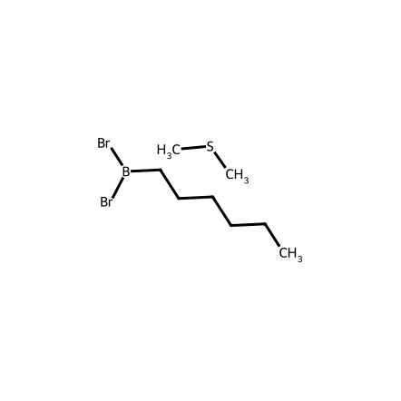 CCCCCCB(Br)Br.CSC